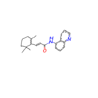 CC1=C(C=CC(=O)Nc2cccc3ncccc23)C(C)(C)CCC1